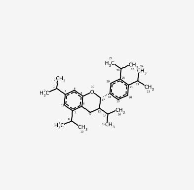 CC(C)c1cc2c(c(C(C)C)c1)CC(C(C)C)[C@@H](c1ccc(C(C)C)c(C(C)C)c1)O2